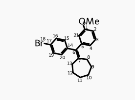 COc1cccc(C(=C2CCCCCC2)c2ccc(Br)cc2)c1